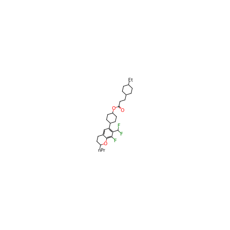 CCCC1CCc2cc(C3CCC(OC(=O)CCC4CCC(CC)CC4)CC3)c(C(F)F)c(F)c2O1